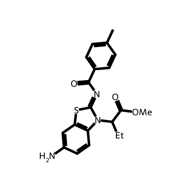 CCC(C(=O)OC)n1/c(=N/C(=O)c2ccc(C)cc2)sc2cc(N)ccc21